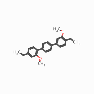 CCc1ccc(-c2ccc(-c3ccc(CC)c(OC)c3)cc2)c(OC)c1